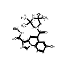 CC1(C)CN(C(=O)c2cc3c(C(=O)OC(C)(C)C)ncn3c3ccc(Cl)cc23)CC(C)(C)N1